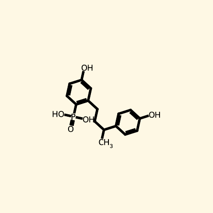 CC(CCc1cc(O)ccc1P(=O)(O)O)c1ccc(O)cc1